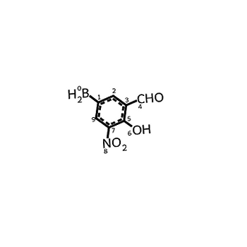 Bc1cc(C=O)c(O)c([N+](=O)[O-])c1